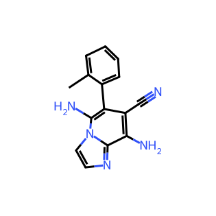 Cc1ccccc1-c1c(C#N)c(N)c2nccn2c1N